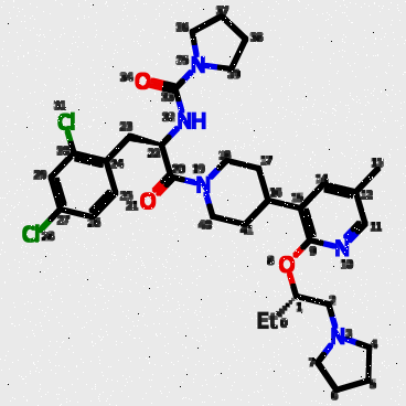 CC[C@@H](CN1CCCC1)Oc1ncc(C)cc1C1CCN(C(=O)[C@@H](Cc2ccc(Cl)cc2Cl)NC(=O)N2CCCC2)CC1